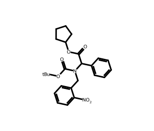 CC(C)(C)OC(=O)N(Cc1ccccc1[N+](=O)[O-])C(C(=O)OC1CCCC1)c1ccccc1